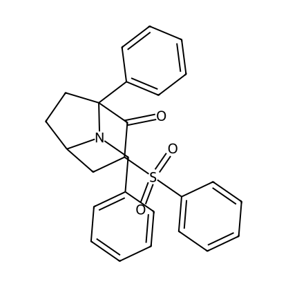 O=C1C(S(=O)(=O)c2ccccc2)CC2CCC1(c1ccccc1)N2Cc1ccccc1